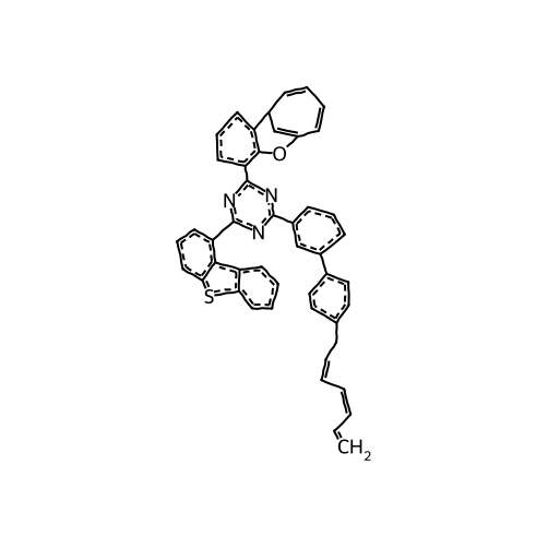 C=C/C=C\C=C/Cc1ccc(-c2cccc(-c3nc(-c4cccc5c4OC4=CC5C=CC=C4)nc(-c4cccc5sc6ccccc6c45)n3)c2)cc1